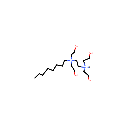 CCCCCCCC[N+](CCO)(CCO)CC[N+](C)(CCO)CCO